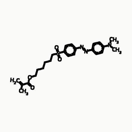 C=C(C)C(=O)OCCCCCCS(=O)(=O)c1ccc(N=Nc2ccc(N(C)C)cc2)cc1